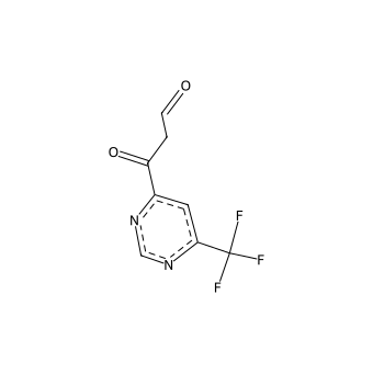 O=CCC(=O)c1cc(C(F)(F)F)ncn1